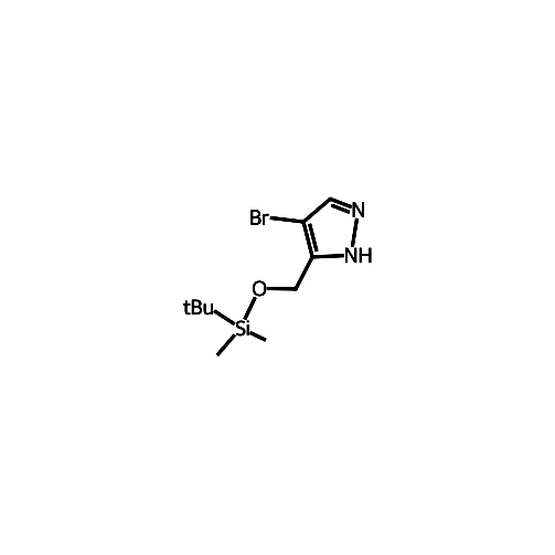 CC(C)(C)[Si](C)(C)OCc1[nH]ncc1Br